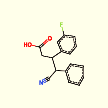 N#CC(c1ccccc1)C(CC(=O)O)c1cccc(F)c1